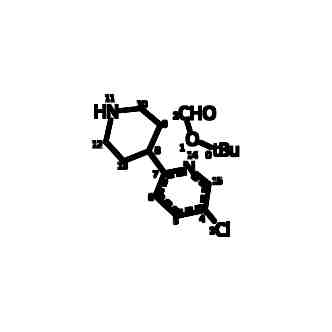 CC(C)(C)OC=O.Clc1ccc(C2CCNCC2)nc1